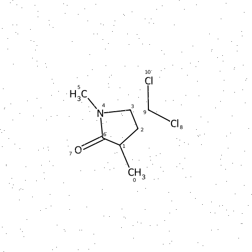 CC1CCN(C)C1=O.ClCCl